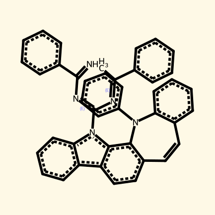 C/C(=N\C(=N/C(=N)c1ccccc1)n1c2ccccc2c2ccc3c(c21)N(c1ccccc1)c1ccccc1C=C3)c1ccccc1